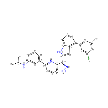 Cc1cc(F)cc(-c2cccc3[nH]c(-c4n[nH]c5ccc(-c6cccc(NC(C)C)c6)nc45)cc23)c1